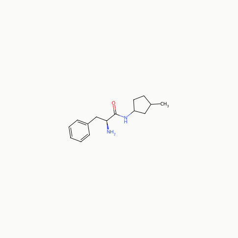 CC1CCC(NC(=O)[C@@H](N)Cc2ccccc2)C1